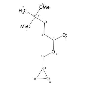 CCC(CC[Si](C)(OC)OC)OCC1CO1